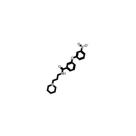 O=C(NCCCN1CCCCC1)c1cccc(Oc2cccc([N+](=O)[O-])c2)c1